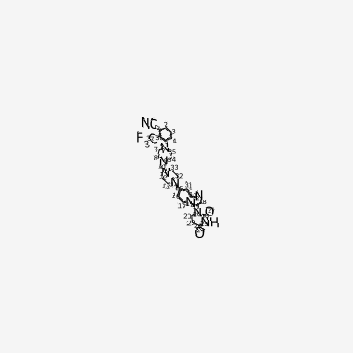 N#Cc1cccc(N2CCN(CN3CCN(c4ccn5c(N6CCC(=O)NC6=O)cnc5c4)CC3)CC2)c1C(F)(F)F